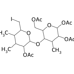 CC(=O)OCC1OC(OC(C)=O)C(OC(C)=O)C(C)C1OC1OC(CI)C(C)C(C)C1OC(C)=O